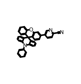 N#Cc1ccc(-c2ccc3c(c2)Oc2ccccc2C32c3ccccc3N(c3ccccc3)c3ccccc32)cn1